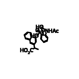 CC(=O)Nc1ccccc1[As](=O)(O)OO.CC(C(=O)O)c1ccc2ccccc2c1